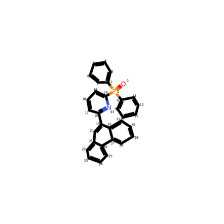 O=P(c1ccccc1)(c1ccccc1)c1cccc(-c2cc3ccccc3c3ccccc23)n1